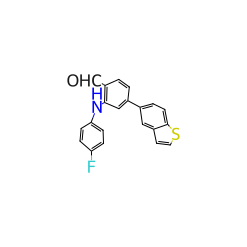 O=Cc1ccc(-c2ccc3sccc3c2)cc1Nc1ccc(F)cc1